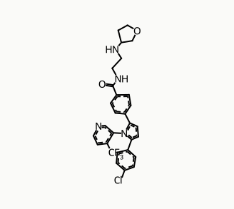 O=C(NCCNC1CCOC1)c1ccc(-c2ccc(-c3ccc(Cl)cc3)n2-c2cnccc2C(F)(F)F)cc1